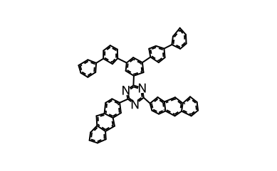 c1ccc(-c2ccc(-c3cc(-c4cccc(-c5ccccc5)c4)cc(-c4nc(-c5ccc6cc7ccccc7cc6c5)nc(-c5ccc6cc7ccccc7cc6c5)n4)c3)cc2)cc1